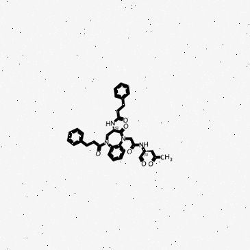 CC(=O)C[C@@H](C=O)NC(=O)CN1C(=O)[C@@H](NC(=O)CCc2ccccc2)CN(C(=O)CCc2ccccc2)c2ccccc21